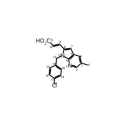 Cc1cnc2c(c1)cc(/C=C/C(=O)O)n2Cc1ccc(Cl)cc1